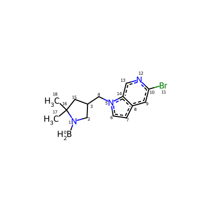 BN1CC(Cn2ccc3cc(Br)ncc32)CC1(C)C